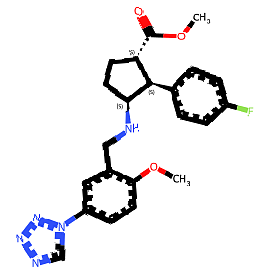 COC(=O)[C@H]1CC[C@H](NCc2cc(-n3cnnn3)ccc2OC)[C@@H]1c1ccc(F)cc1